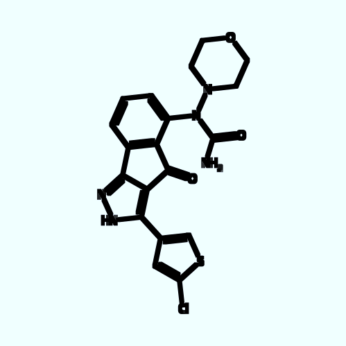 NC(=O)N(c1cccc2c1C(=O)c1c-2n[nH]c1-c1csc(Cl)c1)N1CCOCC1